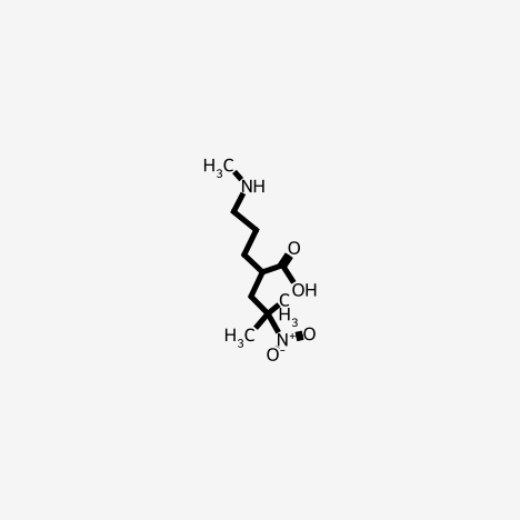 CNCCCC(CC(C)(C)[N+](=O)[O-])C(=O)O